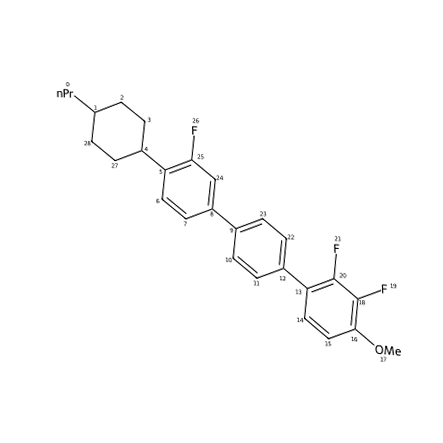 CCCC1CCC(c2ccc(-c3ccc(-c4ccc(OC)c(F)c4F)cc3)cc2F)CC1